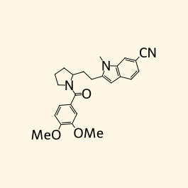 COc1ccc(C(=O)N2CCCC2CCc2cc3ccc(C#N)cc3n2C)cc1OC